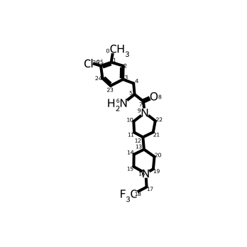 Cc1cc(CC(N)C(=O)N2CCC(C3CCN(CC(F)(F)F)CC3)CC2)ccc1Cl